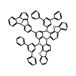 c1ccc(-c2cc(-c3ccccc3)cc(N3c4cc(-c5ccc6c(c5)c5cccc7c8ccccc8n6c75)cc5c4B(c4ccc6c(oc7ccccc76)c43)c3ccc4c(oc6ccccc64)c3N5c3cc(-c4ccccc4)cc(-c4ccccc4)c3)c2)cc1